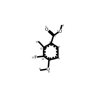 COC(=O)c1ccc(OC)c(F)c1C